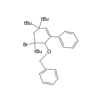 CC(C)(C)C1(Br)CC(C(C)(C)C)(C(C)(C)C)C=C(c2ccccc2)C1OCc1ccccc1